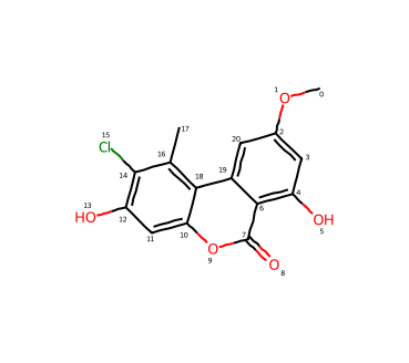 COc1cc(O)c2c(=O)oc3cc(O)c(Cl)c(C)c3c2c1